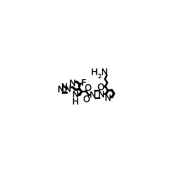 NCCCC(=O)c1cccnc1N1CCN(C(=O)C(=O)c2c[nH]c3c(-n4ccnn4)ncc(F)c23)CC1